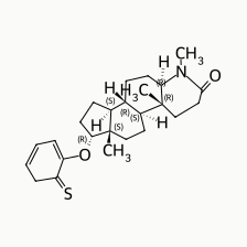 CN1C(=O)CC[C@]2(C)[C@H]3CC[C@]4(C)[C@H](OC5=CC=CCC5=S)CC[C@H]4[C@@H]3CC[C@@H]12